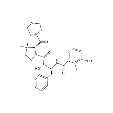 Cc1c(O)cccc1C(=O)N[C@@H](Cc1ccccc1)[C@H](O)C(=O)N1CSC(C)(C)[C@H]1C(=O)N1CCSCC1